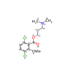 COc1c(Cl)ccc(Cl)c1C(=O)OCCCN(C)C